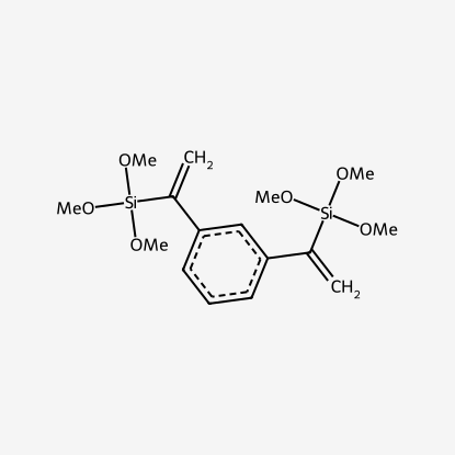 C=C(c1cccc(C(=C)[Si](OC)(OC)OC)c1)[Si](OC)(OC)OC